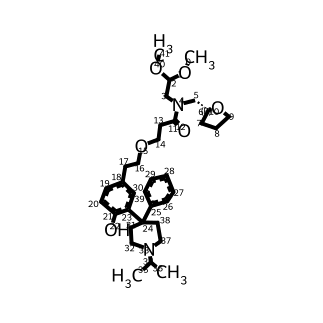 COC(CN(C[C@H]1CCCO1)C(=O)CCOCCc1ccc(O)c(C2(c3ccccc3)CCN(C(C)C)CC2)c1)OC